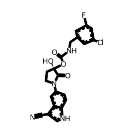 N#Cc1c[nH]c2ccc(N3CC[C@@](O)(OC(=O)NCc4cc(F)cc(Cl)c4)C3=O)cc12